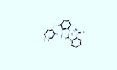 O=C1c2ccccc2S(=O)(=O)N1c1cccc(F)c1Oc1cccnc1